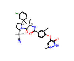 CC[C@@H](NC(=O)c1ccc(Oc2cc(C)n[nH]c2=O)c(C)c1)C(=O)N1[C@H](C2(C)C=C(F)C=CC2)CC[C@@H]1C(C)(C)C#N